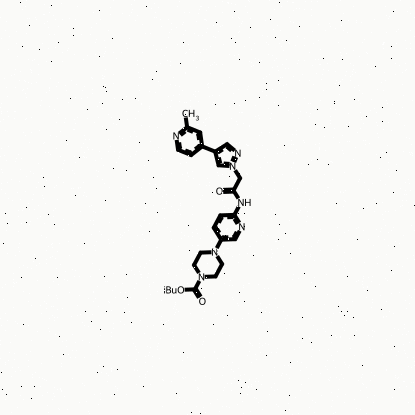 Cc1cc(-c2cnn(CC(=O)Nc3ccc(N4CCN(C(=O)OCC(C)C)CC4)cn3)c2)ccn1